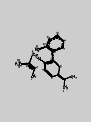 CC(C)=C1C=CC(O)=C(c2ccccc2O)C1.CC=C(C)C(=O)O